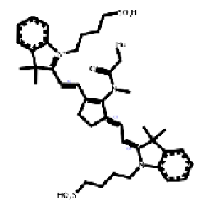 CN(C(=O)CC(C)(C)C)C1=C(/C=C/C2=[N+](CCCCS(=O)(=O)O)c3ccccc3C2(C)C)CC/C1=C\C=C1\N(CCCCS(=O)(=O)O)c2ccccc2C1(C)C